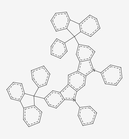 c1ccc(-n2c3ccc(C4(c5ccccc5)c5ccccc5-c5ccccc54)cc3c3cc4c5cc(C6(c7ccccc7)c7ccccc7-c7ccccc76)ccc5n(-c5ccccc5)c4cc32)cc1